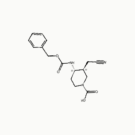 N#CC[C@H]1CN(C(=O)O)CC[C@@H]1NC(=O)OCc1ccccc1